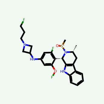 C[C@@H]1Cc2c([nH]c3ccccc23)[C@H](c2c(F)cc(NC3CN(CCCF)C3)cc2OF)N1[S+](C)[O-]